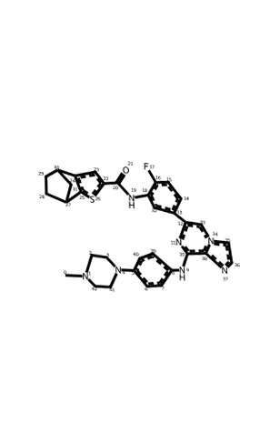 CN1CCN(c2ccc(Nc3nc(-c4ccc(F)c(NC(=O)c5cc6c(s5)C5CCC6C5)c4)cn4ccnc34)cc2)CC1